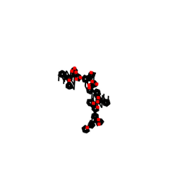 c1ccc(-c2ccc(-n3c4ccccc4c4cc(-c5ccc6c(c5)c5ccccc5n6-c5nc(-c6ccccn6)nc(-c6cccc(-c7cccc8oc9c(-n%10c%11ccccc%11c%11cc(-c%12ccc%13c(c%12)c%12ccccc%12n%13-c%12nc(-c%13ccccn%13)nc(-c%13ccccn%13)n%12)ccc%11%10)cccc9c78)n6)n5)ccc43)cc2)cc1